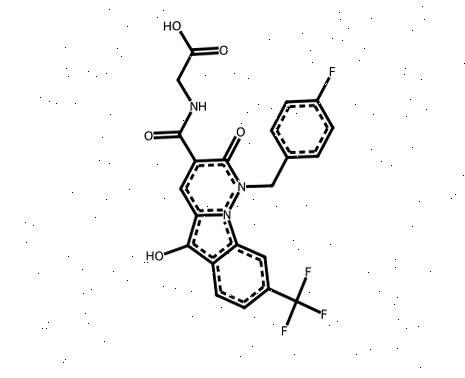 O=C(O)CNC(=O)c1cc2c(O)c3ccc(C(F)(F)F)cc3n2n(Cc2ccc(F)cc2)c1=O